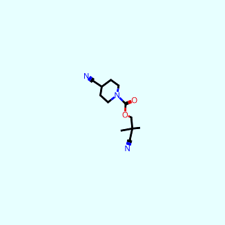 CC(C)(C#N)COC(=O)N1CCC(C#N)CC1